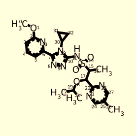 COc1cccc(-c2nnc(NS(=O)(=O)C(C)C(OC(C)C)c3ncc(C)cn3)n2C2CC2)n1